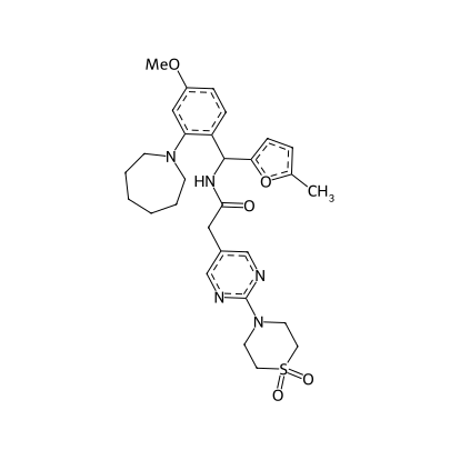 COc1ccc(C(NC(=O)Cc2cnc(N3CCS(=O)(=O)CC3)nc2)c2ccc(C)o2)c(N2CCCCCC2)c1